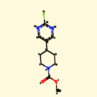 CC(C)(C)OC(=O)N1CCC(c2cnc(F)nc2)CC1